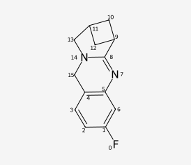 Fc1ccc2c(c1)N=C1C3CC(C3)CN1C2